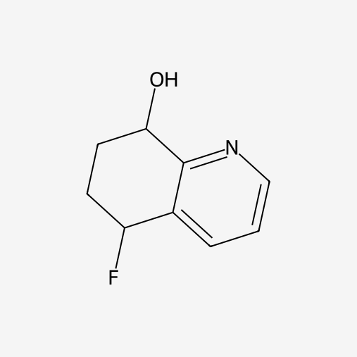 OC1CCC(F)c2cccnc21